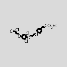 CCOC(=O)/C=C/c1ccc(OCCCOc2c(Cl)cc(OCC=C(Cl)Cl)cc2Cl)cc1